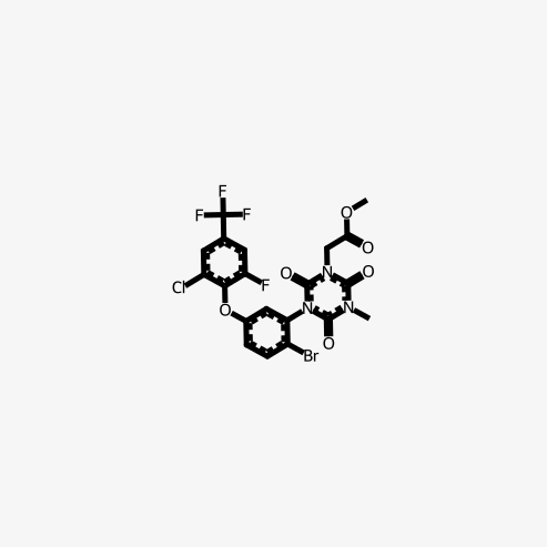 COC(=O)Cn1c(=O)n(C)c(=O)n(-c2cc(Oc3c(F)cc(C(F)(F)F)cc3Cl)ccc2Br)c1=O